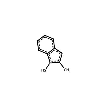 Cc1nc2ccccc2n1S